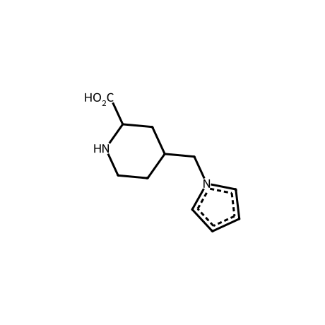 O=C(O)C1CC(Cn2cccc2)CCN1